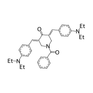 CCN(CC)c1ccc(C=C2CN(C(=O)c3ccccc3)CC(=Cc3ccc(N(CC)CC)cc3)C2=O)cc1